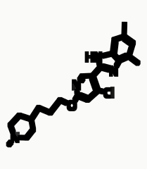 Cc1cc(C)c2nc(-c3cnc(OCCCC4CCN(C)CC4)cc3Cl)[nH]c2c1